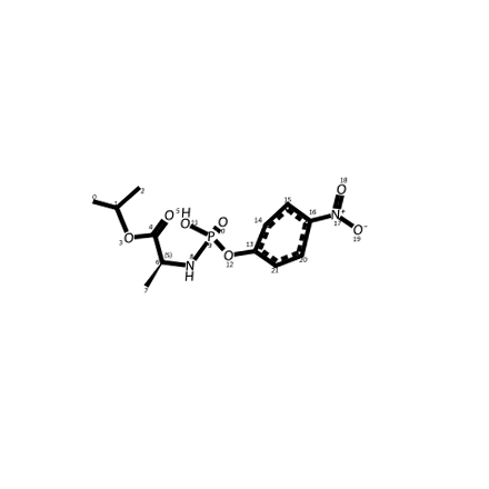 CC(C)OC(=O)[C@H](C)NP(=O)(O)Oc1ccc([N+](=O)[O-])cc1